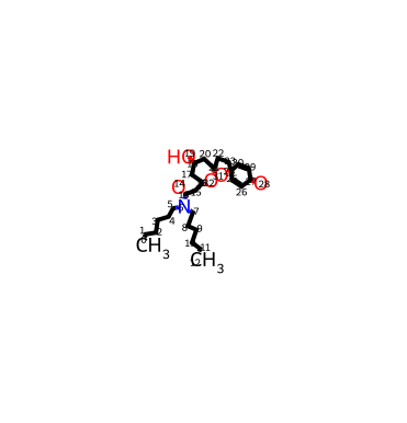 CCCCCCN(CCCCCC)C(=O)CC1CC(O)CC2(CCC3(C=CC(=O)C=C3)O2)O1